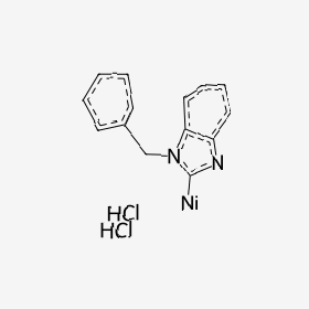 Cl.Cl.[Ni][c]1nc2ccccc2n1Cc1ccccc1